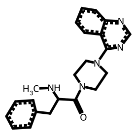 CNC(Cc1ccccc1)C(=O)N1CCN(c2ncnc3ccccc23)CC1